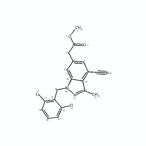 COC(=O)Cc1cc(C#N)c2c(C)nn(Cc3c(Cl)cccc3Cl)c2c1